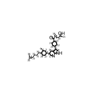 Cc1cc(-c2cnc3[nH]cc(-c4ccc(C(=O)N(C)CC(C)O)cc4)c3c2)ccc1CCCCN(C)C